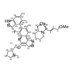 COC/C=C/C(=O)N1CC[C@H](n2ncc3c(O[C@@H](C)C4CCCN4C)nc4c(F)c(-c5c(C)c(C)cc6[nH]ncc56)c(C)cc4c32)C[C@H]1CC#N